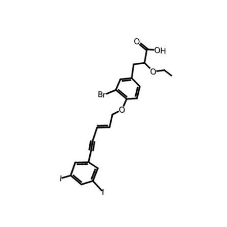 CCOC(Cc1ccc(OCC=CC#Cc2cc(I)cc(I)c2)c(Br)c1)C(=O)O